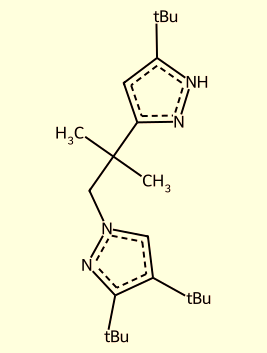 CC(C)(C)c1cc(C(C)(C)Cn2cc(C(C)(C)C)c(C(C)(C)C)n2)n[nH]1